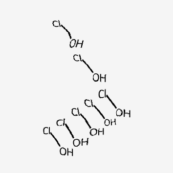 OCl.OCl.OCl.OCl.OCl.OCl.OCl